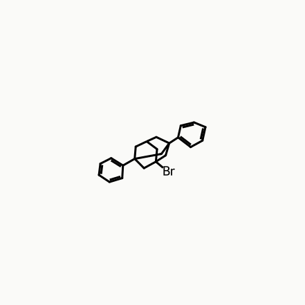 BrC12CC3CC(c4ccccc4)(C1)CC(c1ccccc1)(C3)C2